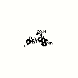 CC(O)C(=O)O.CCc1cccc(C(=O)C(CC)OC(=O)[C@@H]2C=C3c4cccc5c4c(cn5C(C)C)C[C@H]3N(C)C2)c1